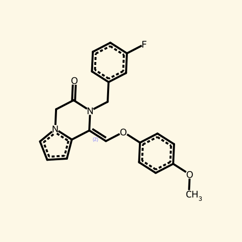 COc1ccc(O/C=C2/c3cccn3CC(=O)N2Cc2cccc(F)c2)cc1